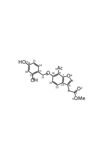 COC(=O)Cc1coc2c(C(C)=O)c(OCc3ccc(O)cc3O)ccc12